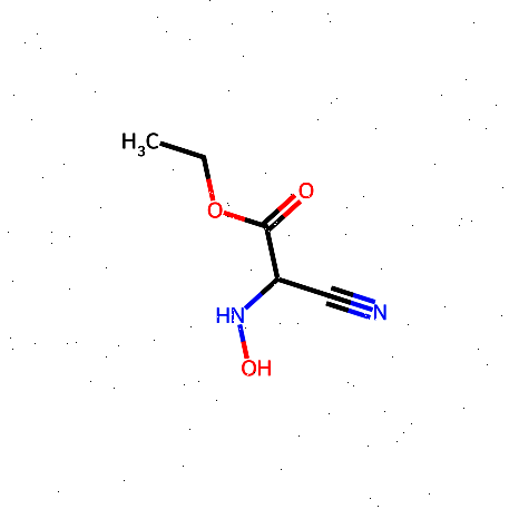 CCOC(=O)C(C#N)NO